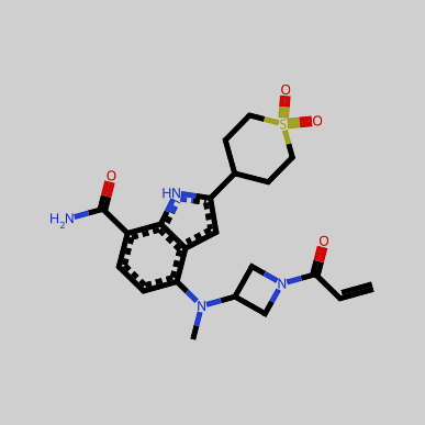 C=CC(=O)N1CC(N(C)c2ccc(C(N)=O)c3[nH]c(C4CCS(=O)(=O)CC4)cc23)C1